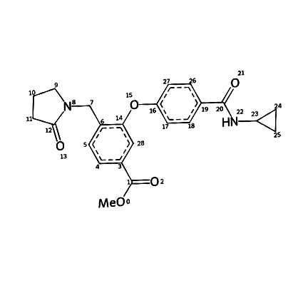 COC(=O)c1ccc(CN2CCCC2=O)c(Oc2ccc(C(=O)NC3CC3)cc2)c1